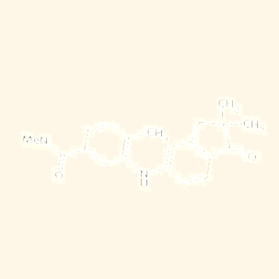 CNC(=O)c1ccc(C)c(Nc2ccc3c(c2)CC(C)(C)C3=O)c1